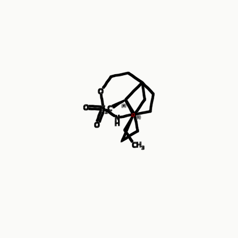 CC[C@@]12CCC34CCOS(=O)(=O)NC(CC1)(C3)[C@@]42C